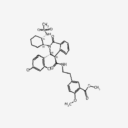 COC(=O)c1cc(CCNC(=O)[C@@H]2c3ccccc3C(=O)N([C@H]3CCCC[C@@H]3NS(C)(=O)=O)[C@H]2c2ccc(Cl)cc2Cl)ccc1OC